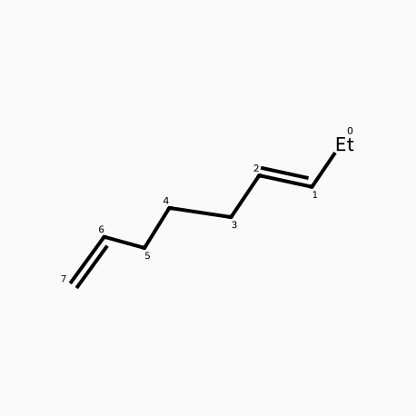 [CH2]CC=CCCCC=C